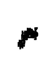 C[C@H](Nc1nccc(N2C(=O)OC[C@@H]2C2CC2)n1)c1cnc(-c2ccc(C(F)(F)F)nc2)s1